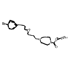 CC(C)(C)OC(=O)N1CCN(CCCOCCc2ccc(Br)cc2)CC1